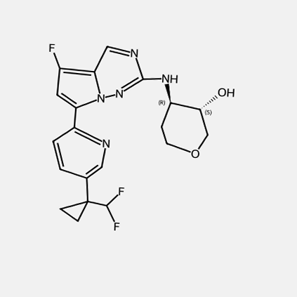 O[C@@H]1COCC[C@H]1Nc1ncc2c(F)cc(-c3ccc(C4(C(F)F)CC4)cn3)n2n1